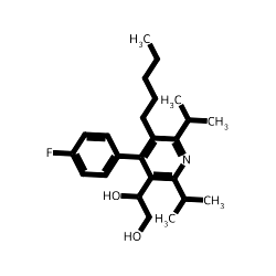 CCCCCc1c(C(C)C)nc(C(C)C)c(C(O)CO)c1-c1ccc(F)cc1